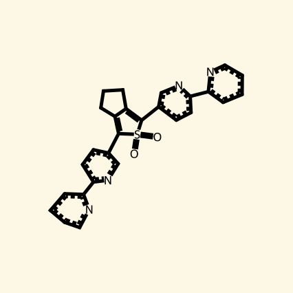 O=S1(=O)C(c2ccc(-c3ccccn3)nc2)=C2CCCC2=C1c1ccc(-c2ccccn2)nc1